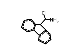 NC(Cl)C1c2ccccc2-c2ccccc21